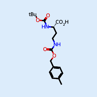 Cc1ccc(COC(=O)NCC[C@H](NC(=O)OC(C)(C)C)C(=O)O)cc1